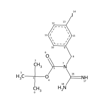 CC(C)(C)OC(=O)N(Cc1cccc(I)c1)C(=N)N